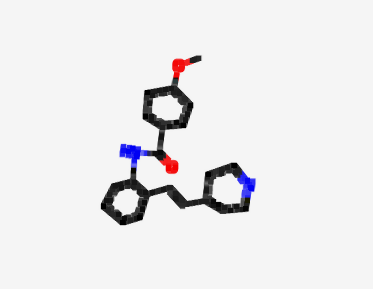 COc1ccc(C(=O)Nc2ccccc2/C=C/c2ccncc2)cc1